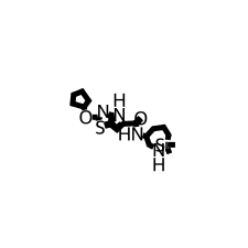 C[Si]1(C)CCCC(NC(=O)c2cc3sc(OC4CCCC4)nc3[nH]2)CN1